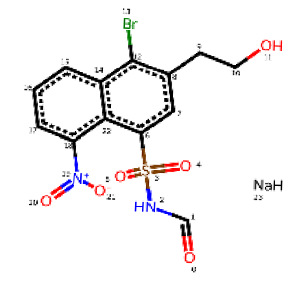 O=CNS(=O)(=O)c1cc(CCO)c(Br)c2cccc([N+](=O)[O-])c12.[NaH]